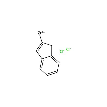 [Cl-].[Cl-].[Zr+2][C]1=Cc2ccccc2C1